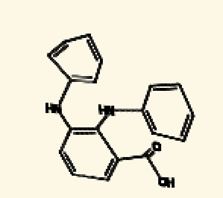 O=C(O)c1cccc(Nc2ccccc2)c1Nc1ccccc1